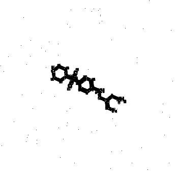 NC/C(=C\F)CNc1ccc(S(=O)(=O)N2CCOCC2)cc1